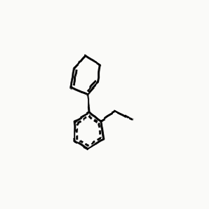 CCc1ccccc1C1=CCCC=C1